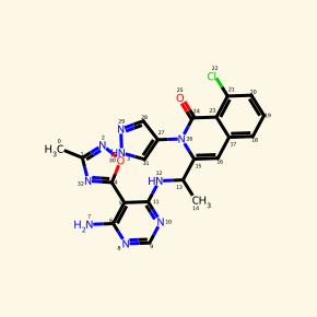 Cc1noc(-c2c(N)ncnc2NC(C)c2cc3cccc(Cl)c3c(=O)n2-c2cn[nH]c2)n1